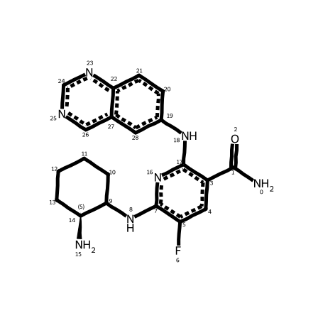 NC(=O)c1cc(F)c(NC2CCCC[C@@H]2N)nc1Nc1ccc2ncncc2c1